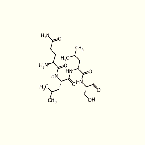 CC(C)C[C@H](NC(=O)[C@H](CC(C)C)NC(=O)[C@@H](N)CCC(N)=O)C(=O)N[C@H]([C]=O)CO